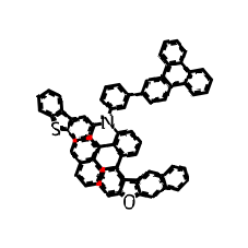 c1cc(-c2ccc3c4ccccc4c4ccccc4c3c2)cc(N(c2ccc3sc4ccccc4c3c2)c2cccc(-c3cccc4oc5cc6ccccc6cc5c34)c2-c2cccc3ccccc23)c1